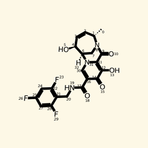 C[C@H]1C=C[C@H](O)[C@H]2CN1C(=O)c1c(O)c(=O)c(C(=O)NCc3c(F)cc(F)cc3F)cn12